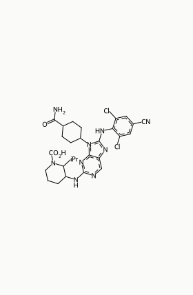 CC(C)C1C(Nc2ncc3nc(Nc4c(Cl)cc(C#N)cc4Cl)n(C4CCC(C(N)=O)CC4)c3n2)CCCN1C(=O)O